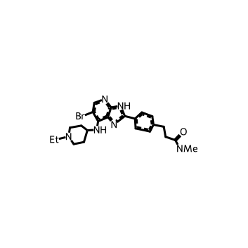 CCN1CCC(Nc2c(Br)cnc3[nH]c(-c4ccc(CCC(=O)NC)cc4)nc23)CC1